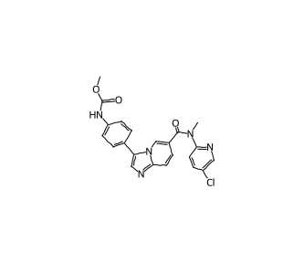 COC(=O)Nc1ccc(-c2cnc3ccc(C(=O)N(C)c4ccc(Cl)cn4)cn23)cc1